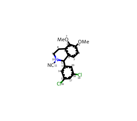 COc1ccc2c(c1OC)CCN(C#N)C2c1cc(Cl)cc(Cl)c1